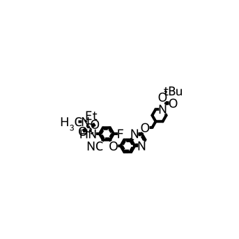 CCN(C)S(=O)(=O)Nc1ccc(F)c(Oc2ccc3ncc(OCC4CCN(C(=O)OC(C)(C)C)CC4)nc3c2)c1C#N